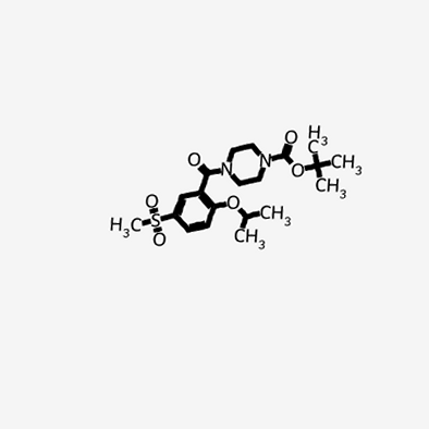 CC(C)Oc1ccc(S(C)(=O)=O)cc1C(=O)N1CCN(C(=O)OC(C)(C)C)CC1